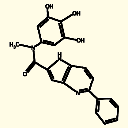 CN(C(=O)c1cc2nc(-c3ccccc3)ccc2[nH]1)c1cc(O)c(O)c(O)c1